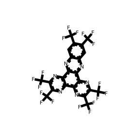 FC(F)(F)c1cc2nc3c4nc(C(F)(F)F)c(C(F)(F)F)nc4c4nc(C(F)(F)F)c(C(F)(F)F)nc4c3nc2cc1C(F)(F)F